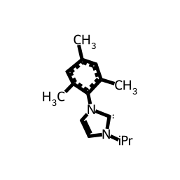 Cc1cc(C)c(N2[C]N(C(C)C)C=C2)c(C)c1